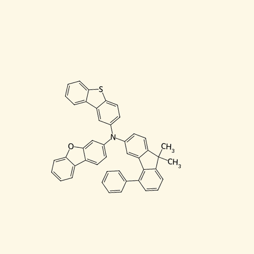 CC1(C)c2ccc(N(c3ccc4c(c3)oc3ccccc34)c3ccc4sc5ccccc5c4c3)cc2-c2c(-c3ccccc3)cccc21